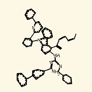 C=C(/C=C\C=C/C)c1c(NC(=N/Cc2ccccc2)/N=C(\N)c2ccc(-c3ccccc3)cc2)ccc2c1c1ccccc1n2-c1ccccc1-c1cccc(-c2ccccc2)n1